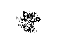 CN(C[C@@H](NC(=O)N[C@H](C(=O)N1C[C@H]2[C@@H]([C@H]1C(=O)NC(CC1CC1)C(=O)C(N)=O)C2(C)C)C1Cc2ccccc2C1)C(C)(C)C)S(C)(=O)=O